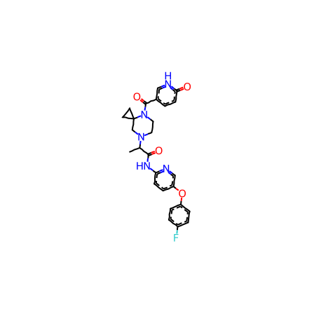 CC(C(=O)Nc1ccc(Oc2ccc(F)cc2)cn1)N1CCN(C(=O)c2ccc(=O)[nH]c2)C2(CC2)C1